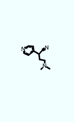 CN(C)CCC(C#N)c1ccncc1